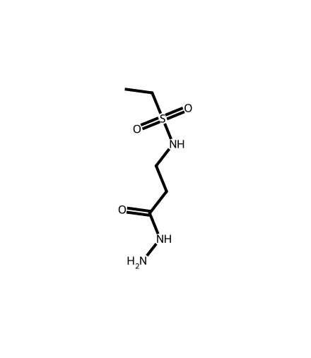 CCS(=O)(=O)NCCC(=O)NN